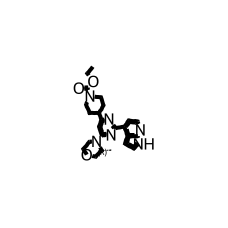 CCOC(=O)N1CCC(c2cc(N3CCOC[C@H]3C)nc(-c3ccnc4[nH]ccc34)n2)CC1